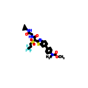 COC(=O)N(C)c1ccc(-c2ccc3nc(C(C(=O)NCC(=O)NC4CC4)S(=O)(=O)CCC(F)(F)F)sc3c2)cc1